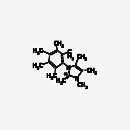 CC1=C(C)N(c2c(C)c(C)c(C)c(C)c2C)[C@H](C)N1C